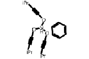 CC(C)C#CO[SiH](OC#CC(C)C)OC#CC(C)C.c1ccccc1